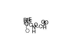 CC(c1ccc(CC(=O)Nc2ccc(C(OCCC3CCCCC3)(C(F)(F)F)C(F)(F)F)cc2)cc1)[SH](=O)=O